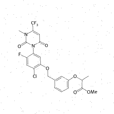 COC(=O)C(C)Oc1cccc(COc2cc(-n3c(=O)cc(C(F)(F)F)n(C)c3=O)c(F)cc2Cl)c1